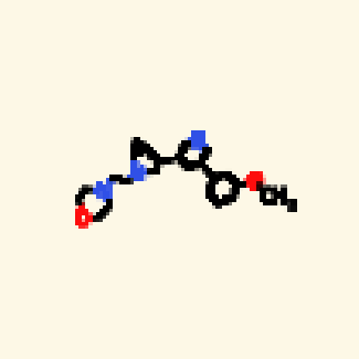 COc1cccc(-c2cncc(C3=C4C=C4N(CCN4CCOCC4)C3)c2)c1